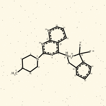 CC1CCN(c2nc(NCc3ccccc3C(F)(F)P)c3cccnc3n2)CC1